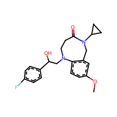 COc1ccc2c(c1)CN(C1CC1)C(=O)CCN2CC(O)c1ccc(F)cc1